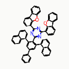 c1ccc(-c2cc(-c3cccc4ccccc34)c(-c3nc(-c4cccc5c4oc4ccccc45)nc(-c4cccc5c4oc4ccccc45)n3)c(-c3cccc4ccccc34)c2)cc1